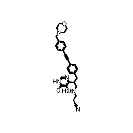 N#CCCNCC(Cc1ccc(C#Cc2ccc(CN3CCOCC3)cc2)cc1)c1nc[nH]c(=O)c1O